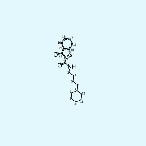 O=C(NCCCCC1CCCCC1)n1sc2ccccc2c1=O